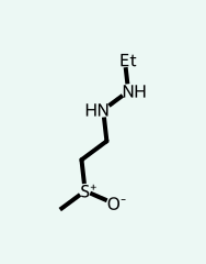 CCNNCC[S+](C)[O-]